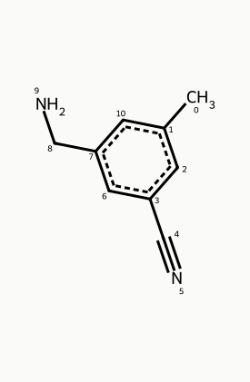 Cc1cc(C#N)cc(CN)c1